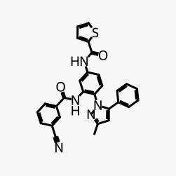 Cc1cc(-c2ccccc2)n(-c2ccc(NC(=O)c3cccs3)cc2NC(=O)c2cccc(C#N)c2)n1